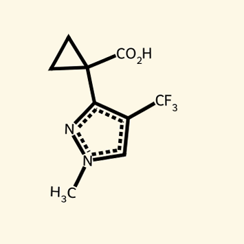 Cn1cc(C(F)(F)F)c(C2(C(=O)O)CC2)n1